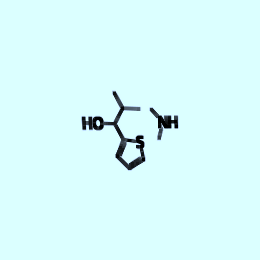 CC(C)C(O)c1cccs1.CNC